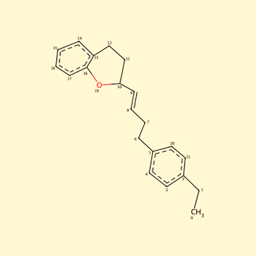 CCc1ccc(CCC=CC2CCc3ccccc3O2)cc1